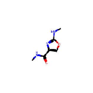 CNC(=O)c1coc(NC)n1